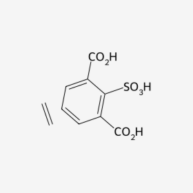 C=C.O=C(O)c1cccc(C(=O)O)c1S(=O)(=O)O